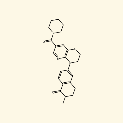 CC1CCc2cc(N3CCOc4cc(C(=O)N5CCCCC5)cnc43)ccc2C1=O